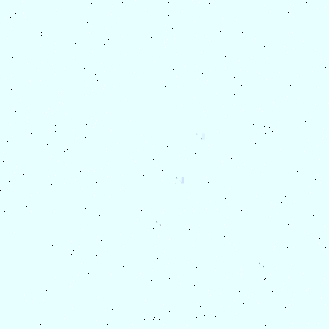 ClC(NC1=CC=CCC1)NC(CCC1C=CC=CC1)NC1=CC2SCNC2CC1